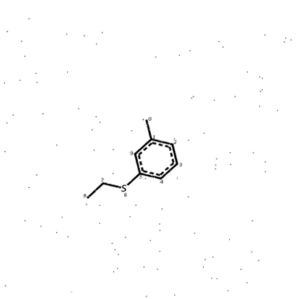 [CH2]c1cccc(SCC)c1